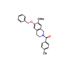 COc1cc2c(cc1OCc1ccccc1)CCN(C(=O)c1ccc(C#N)cc1)C2